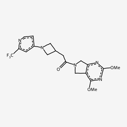 COc1nc2c(c(OC)n1)CN(C(=O)CC1CN(c3ccnc(C(F)(F)F)c3)C1)C2